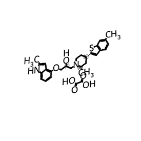 Cc1ccc2cc([C@H]3CCN(C[C@H](O)COc4cccc5[nH]c(C)cc45)[C@H](C)C3)sc2c1.O=C(O)C(=O)O